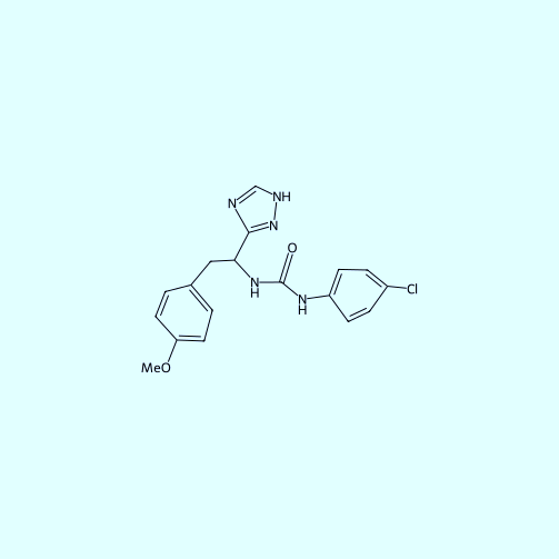 COc1ccc(CC(NC(=O)Nc2ccc(Cl)cc2)c2nc[nH]n2)cc1